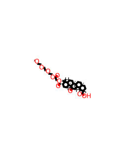 COCCOCCOCCOC(=O)COC(=O)[C@H]1CC[C@]2(C)[C@H]3C(=O)C=C4[C@@H]5C[C@@](C)(C(=O)O)CC[C@]5(C)CC[C@@]4(C)[C@]3(C)CC[C@H]2C1(C)C